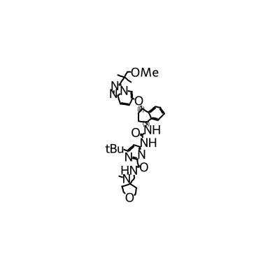 COCC(C)(C)c1nnc2ccc(O[C@@H]3CC[C@H](NC(=O)Nc4cc(C(C)(C)C)nc(C(=O)NCC5(N(C)C)CCOCC5)n4)c4ccccc43)cn12